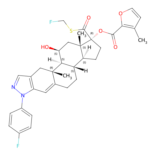 Cc1ccoc1C(=O)O[C@]1(C(=O)SCF)CC[C@H]2[C@@H]3CCC4=Cc5c(cnn5-c5ccc(F)cc5)C[C@]4(C)[C@H]3[C@@H](O)C[C@@]21C